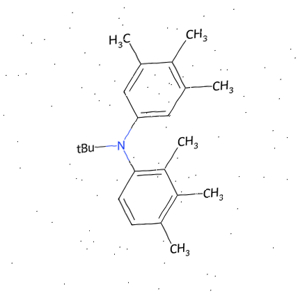 Cc1cc(N(c2ccc(C)c(C)c2C)C(C)(C)C)cc(C)c1C